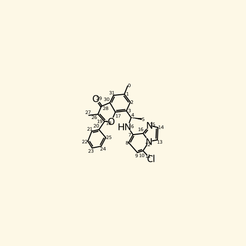 Cc1cc([C@@H](C)Nc2ccc(Cl)n3ccnc23)c2oc(-c3ccccc3)c(C)c(=O)c2c1